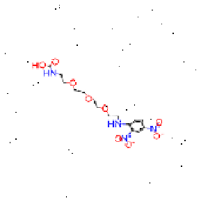 O=C(O)NCCOCCOCCOCCNc1ccc([N+](=O)[O-])cc1[N+](=O)[O-]